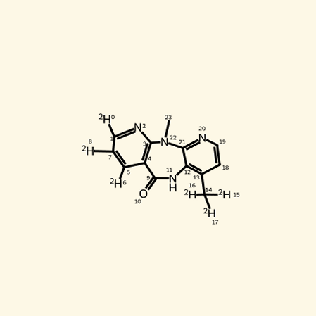 [2H]c1nc2c(c([2H])c1[2H])C(=O)Nc1c(C([2H])([2H])[2H])ccnc1N2C